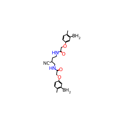 Bc1cc(OCC(=O)NCCC(C#N)CNC(=O)COc2ccc(C)c(B)c2)ccc1C